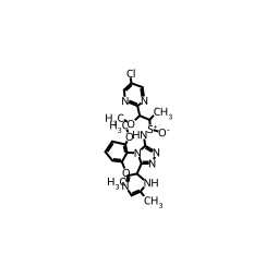 COc1cccc(OC)c1-n1c(N[S+]([O-])C(C)C(OC)c2ncc(Cl)cn2)nnc1C1C=NC=C(C)N1